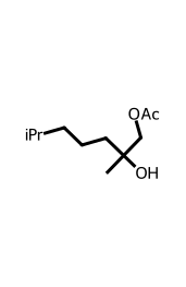 CC(=O)OCC(C)(O)CCCC(C)C